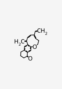 C=CC1=C\CCOc2cc3c(cc2C(=C)/C=C\1)CCCC3=O